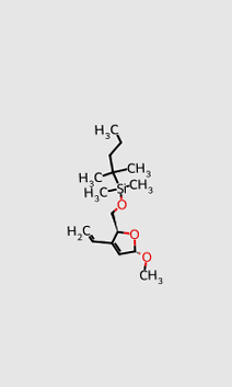 C=CC1=C[C@@H](OC)O[C@@H]1CO[Si](C)(C)C(C)(C)CCC